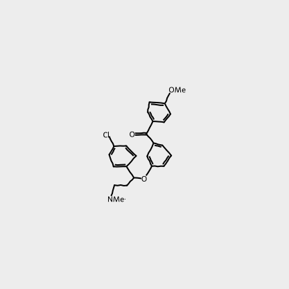 C[N]CCC(Oc1cccc(C(=O)c2ccc(OC)cc2)c1)c1ccc(Cl)cc1